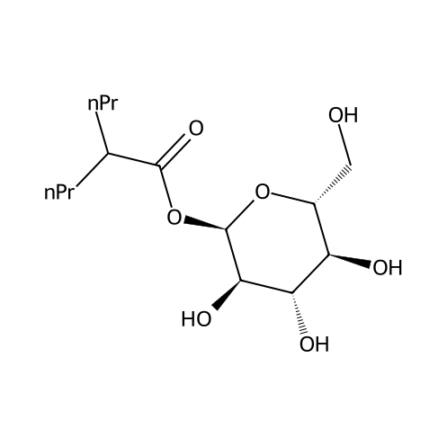 CCCC(CCC)C(=O)O[C@H]1O[C@H](CO)[C@@H](O)[C@H](O)[C@H]1O